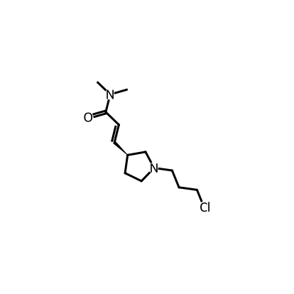 CN(C)C(=O)C=C[C@@H]1CCN(CCCCl)C1